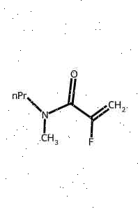 C=C(F)C(=O)N(C)CCC